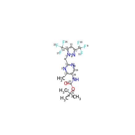 Cc1nc(Cn2nc(C(F)(F)F)cc2C(F)(F)F)ncc1NC(=O)OC(C)(C)C